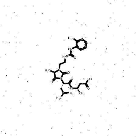 Cc1ccccc1NC(=O)NCCN1C(=O)N([C@@H](CC(C)C)C(=O)N[C@H](C)CC(=O)O)C(=O)C1C